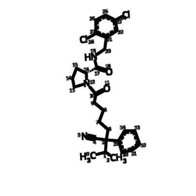 CC(C)C(C#N)(CCCCC(=O)N1CCC[C@@H]1C(=O)NCc1cc(Cl)ccc1Cl)c1ccccc1